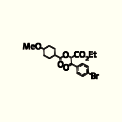 CCOC(=O)C(OC(=O)C1CCC(OC)CC1)C(=O)c1ccc(Br)cc1